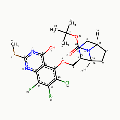 CSc1nc(O)c2c(OC[C@H]3NC[C@H]4CC[C@@H]3N4C(=O)OC(C)(C)C)c(Cl)c(Br)c(F)c2n1